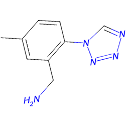 Cc1ccc(-n2cnnn2)c(CN)c1